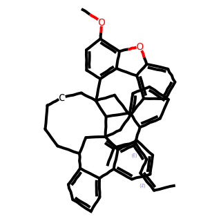 C=C(C)/C(=C\C=C/C)c1ccccc1C1C23CC(CCCCCC14CC(C2)c1cccc2oc5c(OC)ccc4c5c12)c1ccccc1-c1ccccc13